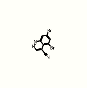 N#Cc1cnnc2cc(Br)cc(Br)c12